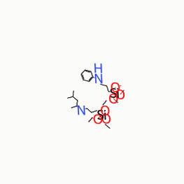 CCO[Si](CCCN=C(C)CC(C)C)(OCC)OCC.CO[Si](CCCNc1ccccc1)(OC)OC